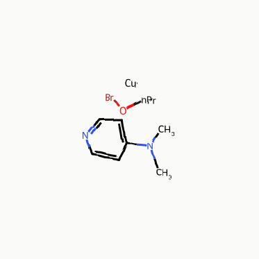 CCCOBr.CN(C)c1ccncc1.[Cu]